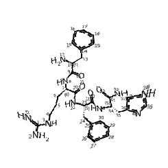 N=C(N)NCCC[C@@H](NC(=O)[C@@H](N)Cc1ccccc1)C(=O)N[C@@H](Cc1ccccc1)C(=O)N[C@@H](Cc1c[nH]cn1)C(N)=O